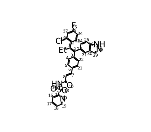 CCC(=C(c1ccc(C=CC(=O)NS(=O)(=O)c2ccccn2)cc1)c1ccc2[nH]ncc2c1)c1ccc(F)cc1Cl